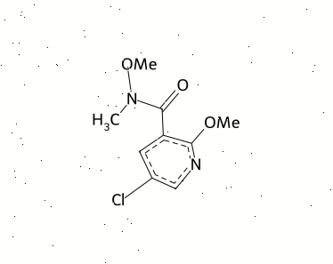 COc1ncc(Cl)cc1C(=O)N(C)OC